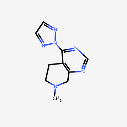 CN1CCc2c(ncnc2-n2nccn2)C1